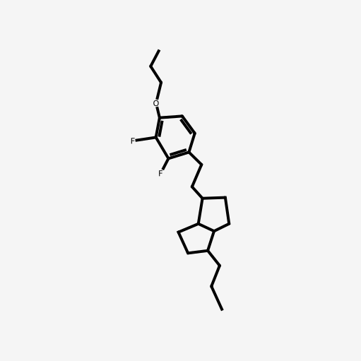 CCCOc1ccc(CCC2CCC3C(CCC)CCC23)c(F)c1F